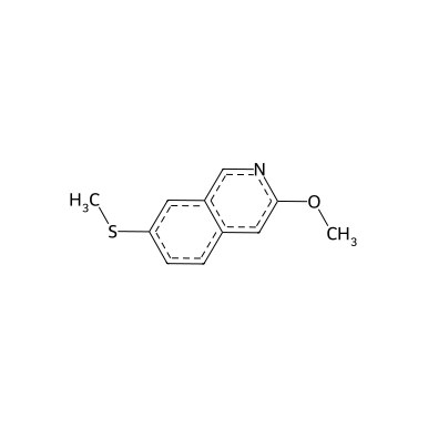 COc1cc2ccc(SC)cc2cn1